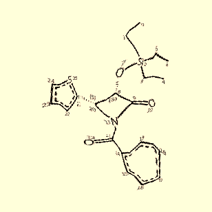 CC[Si](CC)(CC)O[C@@H]1C(=O)N(C(=O)c2ccccc2)[C@@H]1c1cccs1